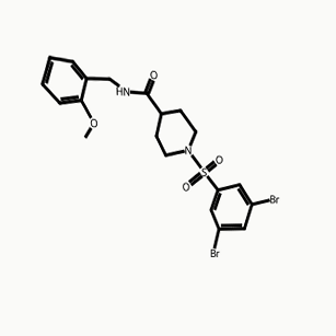 COc1ccccc1CNC(=O)C1CCN(S(=O)(=O)c2cc(Br)cc(Br)c2)CC1